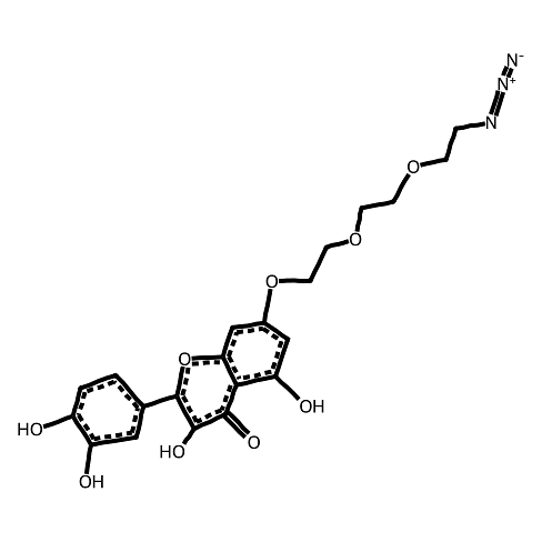 [N-]=[N+]=NCCOCCOCCOc1cc(O)c2c(=O)c(O)c(-c3ccc(O)c(O)c3)oc2c1